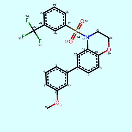 COc1cccc(-c2ccc3c(c2)N(S(=O)(=O)c2cccc(C(F)(F)F)c2)CCO3)c1